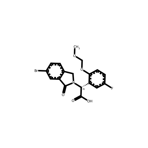 COCOc1ccc(F)cc1[C@H](C(=O)O)N1Cc2ccc(Br)cc2C1=O